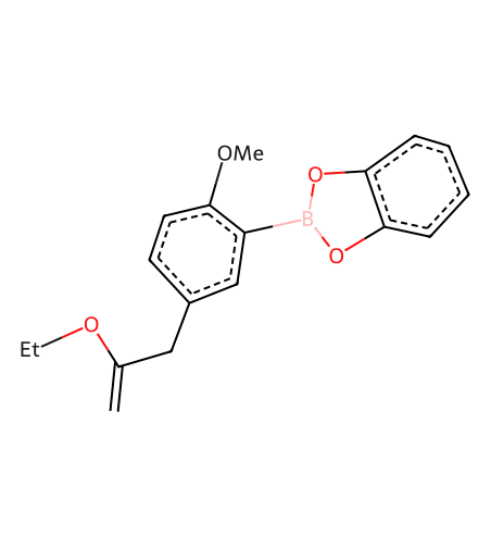 C=C(Cc1ccc(OC)c(B2Oc3ccccc3O2)c1)OCC